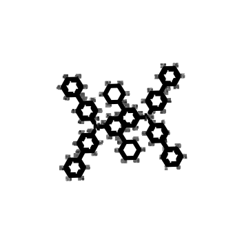 c1ccc(-c2ccc(N(c3ccc(-c4ccccc4)cc3)c3cc(C4CCCCC4)c4cc(N(c5ccc(-c6ccccc6)cc5)c5ccc(-c6ccccc6)cc5)cc(C5CCCCC5)c4c3)cc2)cc1